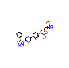 CC(=O)NCC1CN(c2ccc(-c3ccc(-n4nnnc4-c4ccccc4)nc3)c(F)c2)C(=O)O1